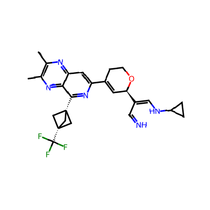 Cc1nc2cc(C3=C[C@H](/C(C=N)=C/NC4CC4)OCC3)nc([C@]34C[C@](C(F)(F)F)(C3)C4)c2nc1C